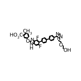 Cc1ccc(Oc2nc3c(F)c(-c4ccc(-c5ccc(-c6ncnn6CCOCCO)cc5)cc4)c(F)cc3[nH]2)cc1C(=O)O